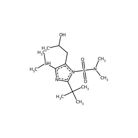 CC(O)Cc1c([SiH](C)C)nc(C(C)(C)C)n1S(=O)(=O)N(C)C